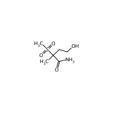 CC(CCO)(C(N)=O)S(C)(=O)=O